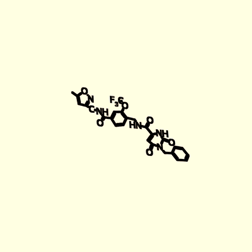 Cc1cc(CNC(=O)c2ccc(CNC(=O)c3cc(=O)n(Cc4ccccc4)c(=O)[nH]3)c(OC(F)(F)F)c2)no1